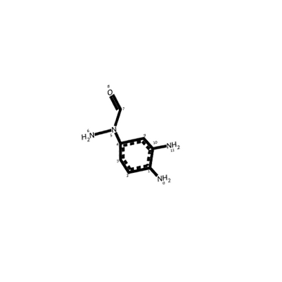 Nc1ccc(N(N)C=O)cc1N